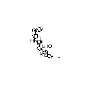 Cn1cc(-c2ccnc(N3CCn4c(cc5c4CC(C)(C)C5)C3=O)c2C=O)cc(Nc2ccc(C(=O)N3CCOCC3)cn2)c1=O